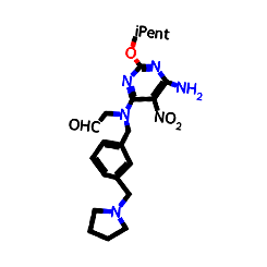 CCCC(C)Oc1nc(N)c([N+](=O)[O-])c(N(CC=O)Cc2cccc(CN3CCCC3)c2)n1